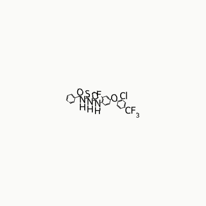 O=C(NC(=S)NC(=O)c1ccccc1)Nc1ccc(Oc2ccc(C(F)(F)F)cc2Cl)cc1F